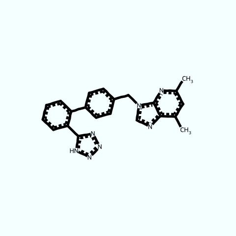 Cc1cc(C)c2ncn(Cc3ccc(-c4ccccc4-c4nnn[nH]4)cc3)c2n1